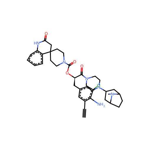 C#Cc1cc(C[C@@H](OC(=O)N2CCC3(CC2)CC(=O)Nc2ccccc23)C(=O)N2CCN(C3CC4CCC(C3)N4C)CC2)cc(Cl)c1N